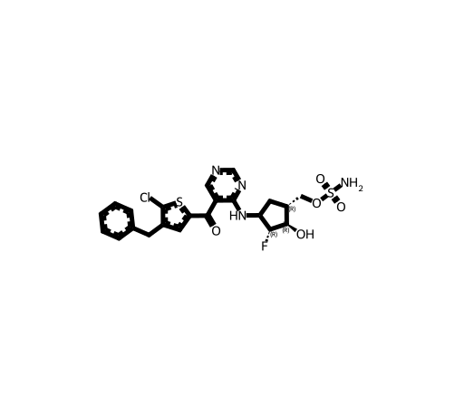 NS(=O)(=O)OC[C@H]1CC(Nc2ncncc2C(=O)c2cc(Cc3ccccc3)c(Cl)s2)[C@@H](F)[C@@H]1O